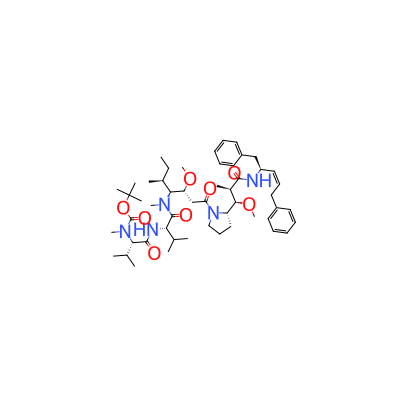 CC[C@H](C)[C@@H]([C@@H](CC(=O)N1CCC[C@H]1[C@H](OC)[C@@H](C)C(=O)N[C@H](/C=C\Cc1ccccc1)Cc1ccccc1)OC)N(C)C(=O)[C@@H](NC(=O)[C@H](C(C)C)N(C)C(=O)OC(C)(C)C)C(C)C